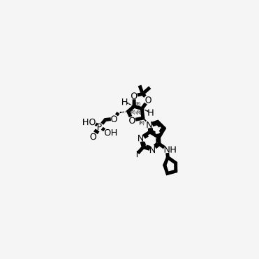 CC1(C)O[C@@H]2[C@H](O1)[C@@H](COCP(=O)(O)O)O[C@H]2n1ccc2c(NC3CCCC3)nc(I)nc21